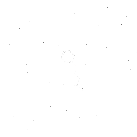 CCCC(F)CCOc1ccc(C(=O)O)cc1